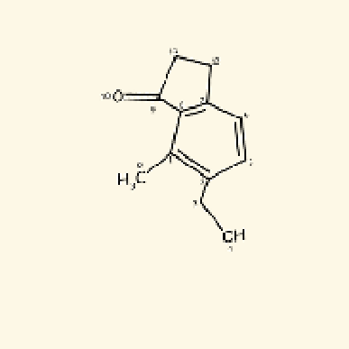 Cc1c(CO)ccc2c1C(=O)CC2